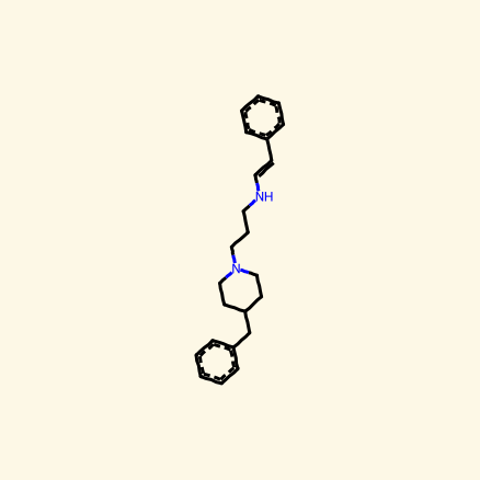 C(=Cc1ccccc1)NCCCN1CCC(Cc2ccccc2)CC1